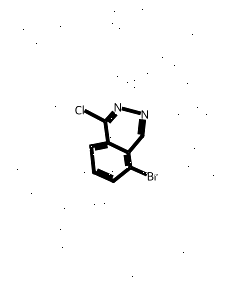 Clc1nncc2c(Br)cccc12